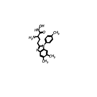 Cc1ccc(-n2c(CCC(N)C(=O)NO)nc3cc(C)c(C)cc32)cc1